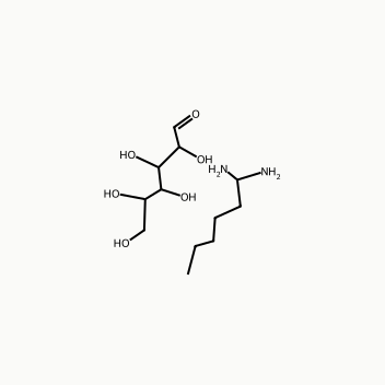 CCCCCC(N)N.O=CC(O)C(O)C(O)C(O)CO